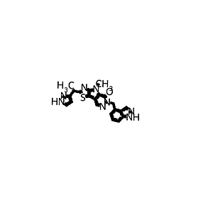 CC(c1cc[nH]n1)c1nc2c(s1)c1cnn(Cc3cccc4[nH]ncc34)c(=O)c1n2C